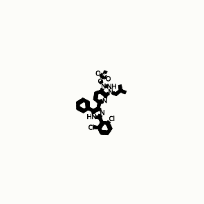 CC(C)CN1NN(OS(C)(=O)=O)c2ccc(-c3nc(-c4c(Cl)cccc4Cl)[nH]c3-c3ccccc3)nc21